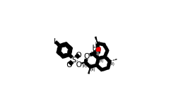 C[C@@H]1CCC2[C@@H](C)[C@@H](OS(=O)(=O)c3ccc(I)cc3)O[C@@H]3O[C@@]4(C)CCC1[C@@]23OO4